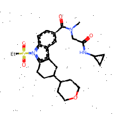 CCS(=O)(=O)n1c2c(c3cc(C(=O)N(C)CC(=O)NC4CC4)ccc31)CC(C1CCOCC1)CC2